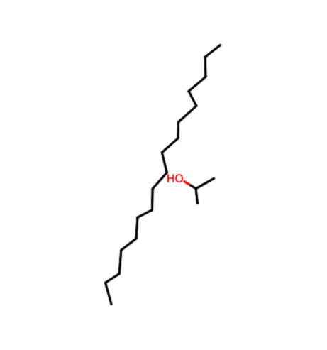 CC(C)O.CCCCCCCCCCCCCCCCC